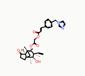 C=C[C@]1(C)C[C@@H](OC(=O)COC(=O)/C=C/c2ccc(Cn3ccnc3)cc2)[C@]2(C)[C@H](C)CC[C@]3(CCC(=O)[C@H]32)[C@@H](C)[C@@H]1O